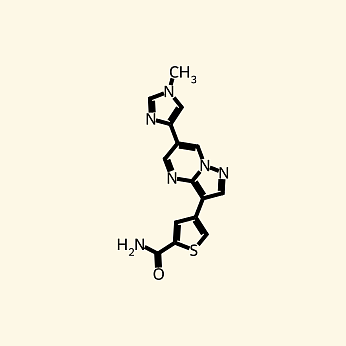 Cn1cnc(-c2cnc3c(-c4csc(C(N)=O)c4)cnn3c2)c1